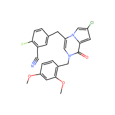 COc1ccc(Cn2cc(Cc3ccc(F)c(C#N)c3)n3cc(Cl)cc3c2=O)c(OC)c1